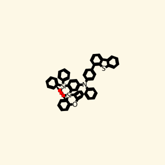 c1ccc(N(c2ccc(-c3cccc4c3sc3ccccc34)cc2)c2ccc3c(c2)[Si]2(c4ccccc4Oc4ccccc42)c2ccccc2[Si]3(c2ccccc2)c2ccccc2)cc1